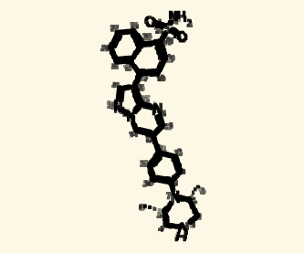 C[C@@H]1CNC[C@H](C)N1c1ccc(-c2cnc3c(-c4ccc(S(N)(=O)=O)c5ccccc45)cnn3c2)cc1